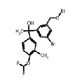 CCOCc1cc(Br)cc([C@@](C)(O)c2ccc(OC(F)F)c(C)c2)c1